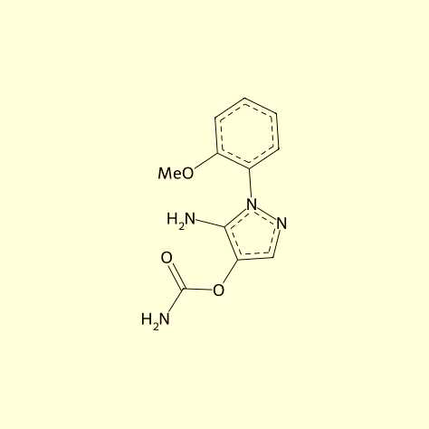 COc1ccccc1-n1ncc(OC(N)=O)c1N